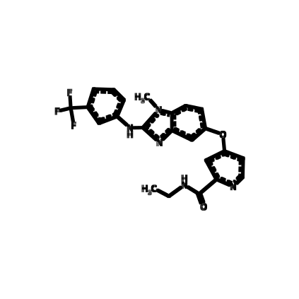 CCNC(=O)c1cc(Oc2ccc3c(c2)nc(Nc2cccc(C(F)(F)F)c2)n3C)ccn1